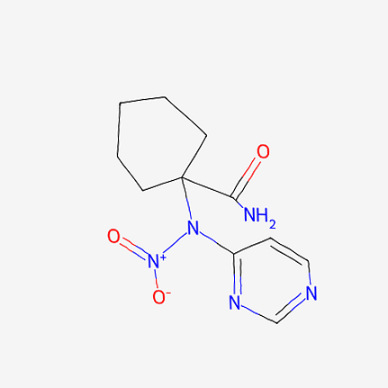 NC(=O)C1(N(c2ccncn2)[N+](=O)[O-])CCCCC1